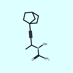 CC(C#CC12CCC(CC1)C2)N(O)C(N)=O